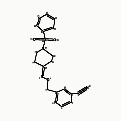 N#Cc1ccnc(CON=C2CCN(S(=O)(=O)c3cccnc3)CC2)c1